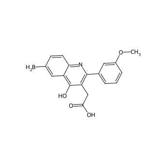 Bc1ccc2nc(-c3cccc(OC)c3)c(CC(=O)O)c(O)c2c1